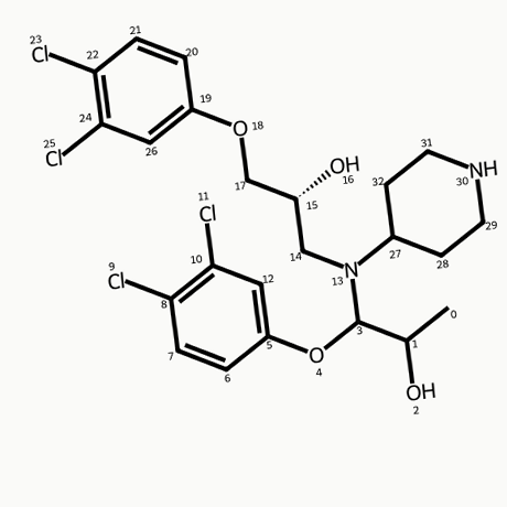 CC(O)C(Oc1ccc(Cl)c(Cl)c1)N(C[C@@H](O)COc1ccc(Cl)c(Cl)c1)C1CCNCC1